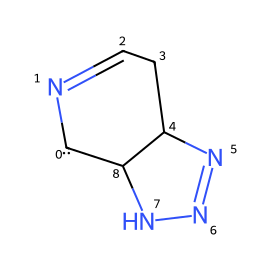 [C]1N=CCC2N=NNC12